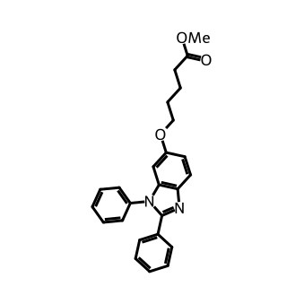 COC(=O)CCCCOc1ccc2nc(-c3ccccc3)n(-c3ccccc3)c2c1